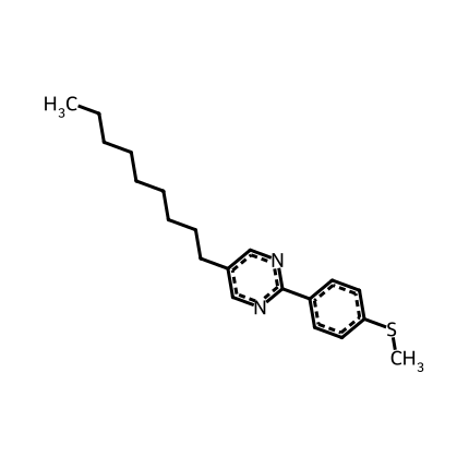 CCCCCCCCCc1cnc(-c2ccc(SC)cc2)nc1